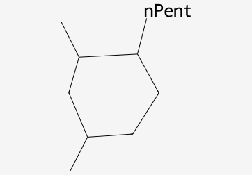 CCC[CH]CC1CCC(C)CC1C